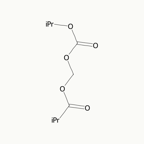 CC(C)OC(=O)OCOC(=O)C(C)C